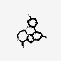 C[C@H]1CCNC(=O)c2cc3cc(F)cc(-c4ccc(F)cc4)c3n21